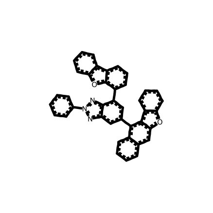 c1ccc(-n2nc3cc(-c4c5ccccc5cc5oc6ccccc6c45)cc(-c4cccc5c4oc4ccccc45)c3n2)cc1